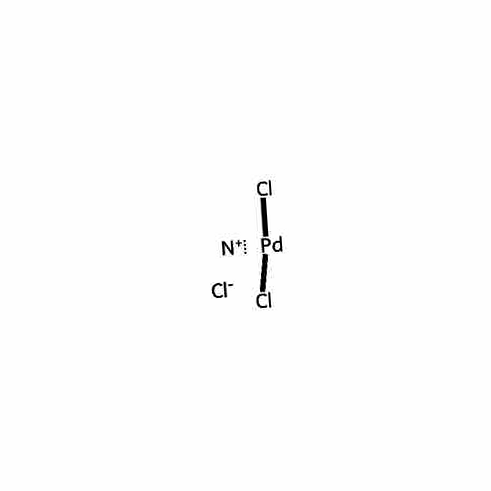 [Cl-].[Cl][Pd][Cl].[N+]